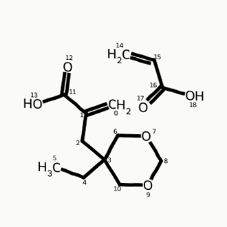 C=C(CC1(CC)COCOC1)C(=O)O.C=CC(=O)O